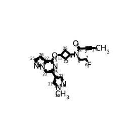 CC#CC(=O)N(CCF)C1CC(Oc2nc(-c3cnn(C)c3)cn3nccc23)C1